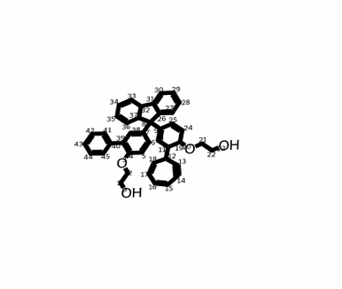 OCCOc1ccc(C2(C3=CC(C4C#CC=CC=C4)C(OCCO)C=C3)c3ccccc3C3C=CC=CC32)cc1-c1ccccc1